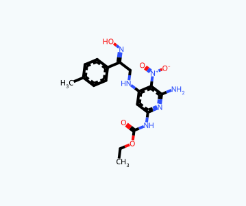 CCOC(=O)Nc1cc(NC/C(=N/O)c2ccc(C)cc2)c([N+](=O)[O-])c(N)n1